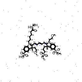 COCCN1/C(=C/C=C/C=C/C2=[N+](CCCCCC(=O)NN)c3ccc(S(=O)(=O)O)cc3C2(C)CCOC)C(C)(CCCS(=O)(=O)OC)c2cc(S(=O)(=O)OC)ccc21